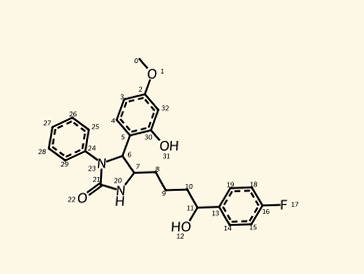 COc1ccc(C2C(CCCC(O)c3ccc(F)cc3)NC(=O)N2c2ccccc2)c(O)c1